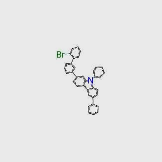 Brc1ccccc1-c1cccc(-c2ccc3c4cc(-c5ccccc5)ccc4n(-c4ccccc4)c3c2)c1